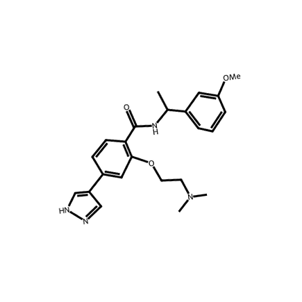 COc1cccc(C(C)NC(=O)c2ccc(-c3cn[nH]c3)cc2OCCN(C)C)c1